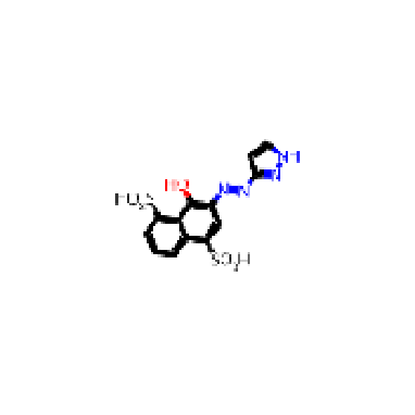 O=S(=O)(O)c1cc(/N=N/c2cc[nH]n2)c(O)c2c(S(=O)(=O)O)cccc12